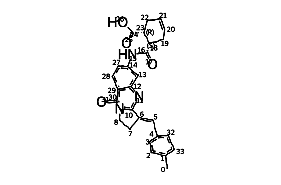 Cc1ccc(C=C2CCn3c2nc2cc(NC(=O)[C@H]4CC=CC[C@H]4C(=O)O)ccc2c3=O)cc1